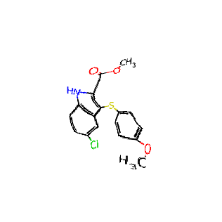 COC(=O)c1[nH]c2ccc(Cl)cc2c1Sc1ccc(OC)cc1